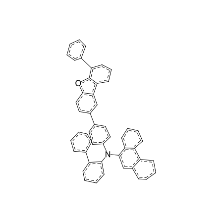 c1ccc(-c2ccccc2N(c2ccc(-c3ccc4oc5c(-c6ccccc6)cccc5c4c3)cc2)c2cc3ccccc3c3ccccc23)cc1